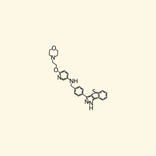 c1ccc2c(c1)sc1c(-c3ccc(CNc4ccc(OCCN5CCOCC5)nc4)cc3)n[nH]c12